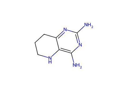 Nc1nc(N)c2c(n1)CCCN2